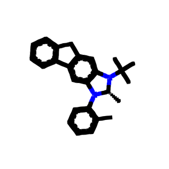 Cc1ccccc1N1c2cc3c(cc2N(C(C)(C)C)[C@@H]1C)Cc1ccccc1-3